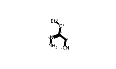 CCOC(CC#N)=NN